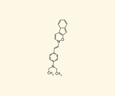 CCN(CC)c1ccc(C=CN2C=CC3=C(C=C4C=CC=CC43)O2)cc1